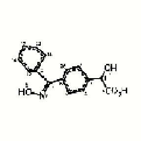 O=C(O)C(O)c1ccc(C(=NO)c2ccccc2)cc1